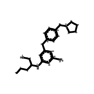 CCCC(CO)Nc1cc(Cc2ccc(CN3CCCC3)cc2)nc(N)n1